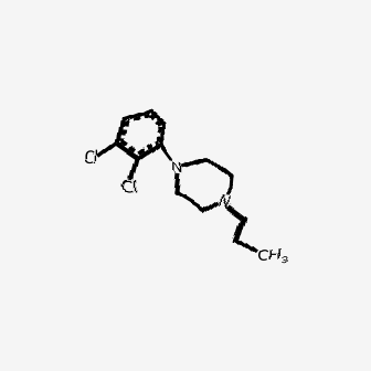 CCCN1CCN(c2cccc(Cl)c2Cl)CC1